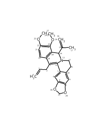 C=CCC1=C2c3cc4c(cc3CCN2C(C(=C)C)c2c1ccc(OC)c2OC)OCO4